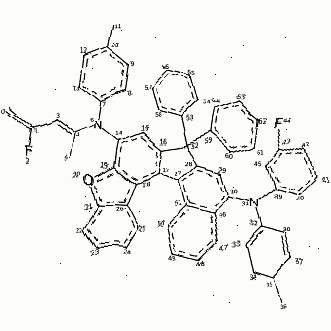 C=C(F)/C=C(\C)N(c1ccc(C)cc1)c1cc2c(c3c1oc1ccccc13)-c1c(cc(N(C3=CCC(C)C=C3)c3cccc(F)c3)c3ccccc13)C2(c1ccccc1)c1ccccc1